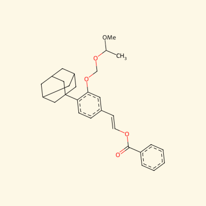 COC(C)OCOc1cc(C=COC(=O)c2ccccc2)ccc1C12CC3CC(CC(C3)C1)C2